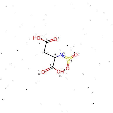 O=C(O)CC(N=S(=O)=O)C(=O)O